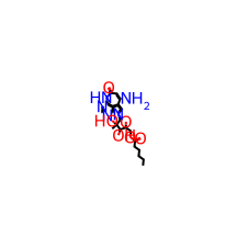 CCCCCC(=O)OCC1OC(n2cc3c4c(ncnc42)NC(=O)C=C3N)C(C)(O)C1O